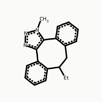 CCC1Cc2ccccc2-c2c(nnn2C)-c2ccccc21